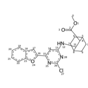 COC(=O)C1C2CCC(CC2)C1Nc1cc(-c2cc3ccccc3o2)nc(Cl)n1